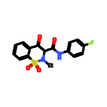 CCN1C(C(=O)Nc2ccc(F)cc2)C(=O)c2ccccc2S1(=O)=O